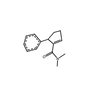 CN(C)C(=O)C1=CCCC1c1ccccc1